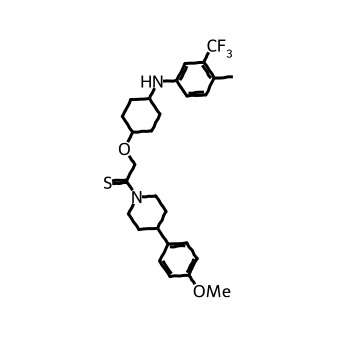 COc1ccc(C2CCN(C(=S)COC3CCC(Nc4ccc(C)c(C(F)(F)F)c4)CC3)CC2)cc1